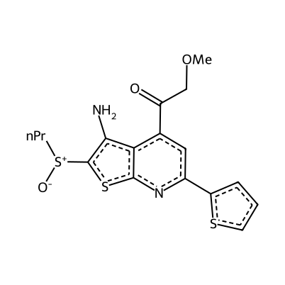 CCC[S+]([O-])c1sc2nc(-c3cccs3)cc(C(=O)COC)c2c1N